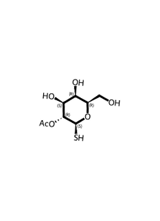 CC(=O)O[C@@H]1[C@@H](O)[C@@H](O)[C@@H](CO)O[C@H]1S